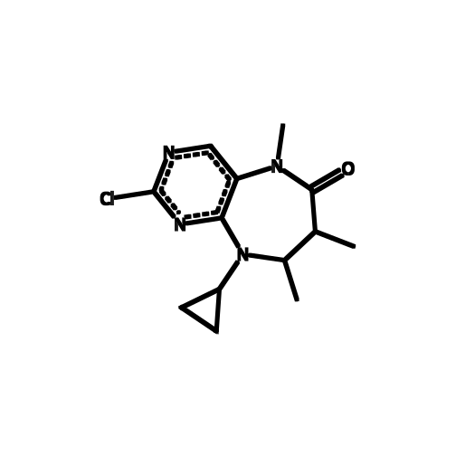 CC1C(=O)N(C)c2cnc(Cl)nc2N(C2CC2)C1C